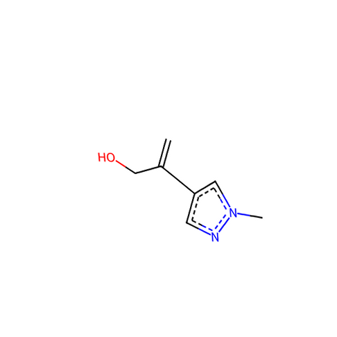 C=C(CO)c1cnn(C)c1